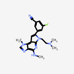 CNc1nc2c(cc(-c3cc(F)cc(C#N)c3)n2CCN(C)C)c2c1ncn2C